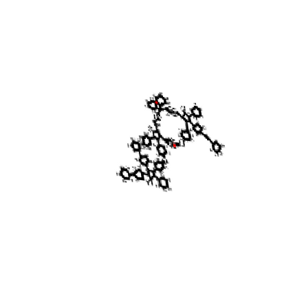 O=C1C(c2ccccc2)=C(c2ccc(C#Cc3ccccc3)cc2)C2=C1c1ccc(cc1)C(c1ccccc1)(c1ccccc1)c1ccc(cc1)C1=C(C(c3ccc(Oc4ccc(C5=C(c6ccccc6)C(=O)C(c6ccc(-c7ccccc7)cc6)=C5c5ccc(-c6ccccc6)cc5)cc4)cc3)=C(c3ccccc3)C1=O)c1ccc(cc1)Oc1ccc2cc1